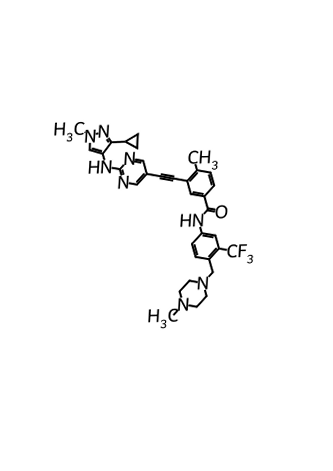 Cc1ccc(C(=O)Nc2ccc(CN3CCN(C)CC3)c(C(F)(F)F)c2)cc1C#Cc1cnc(Nc2cn(C)nc2C2CC2)nc1